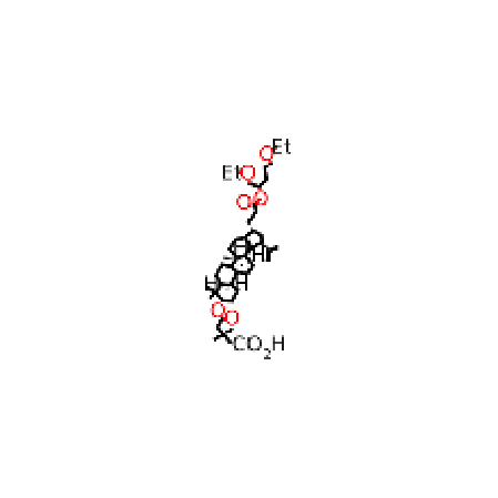 C=C(C)[C@@H]1C[C@@H](CCC(=O)OC(CCCOCC)COCC)C2CC[C@]3(C)[C@H](CC[C@@H]4[C@@]5(C)CC[C@H](OC(=O)CC(C)(C)CC(=O)O)C(C)(C)[C@@H]5CC[C@]43C)[C@H]21